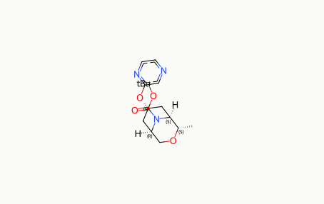 C[C@@H]1OC[C@H]2C[C@H](Oc3cnccn3)C[C@@H]1N2C(=O)OC(C)(C)C